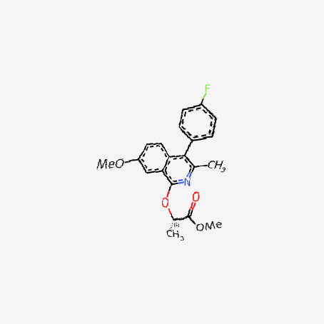 COC(=O)[C@H](C)Oc1nc(C)c(-c2ccc(F)cc2)c2ccc(OC)cc12